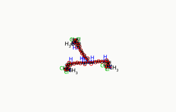 CN1Cc2c(Cl)cc(Cl)cc2[C@H](c2cccc(S(=O)(=O)NCCOCCOCCOCCNC(=O)CCN(CCC(=O)NCCOCCOCCOCCNS(=O)(=O)c3cccc([C@@H]4CN(C)Cc5c(Cl)cc(Cl)cc54)c3)CCC(=O)NCCOCCOCCOCCNS(=O)(=O)c3cccc([C@@H]4CN(C)Cc5c(Cl)cc(Cl)cc54)c3)c2)C1